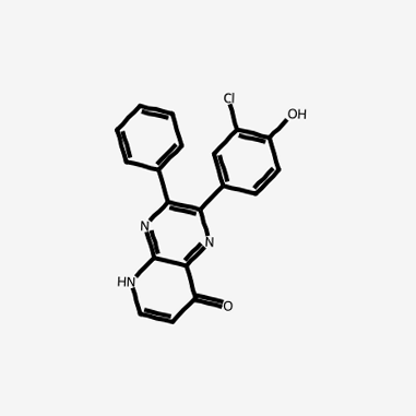 O=c1cc[nH]c2nc(-c3ccccc3)c(-c3ccc(O)c(Cl)c3)nc12